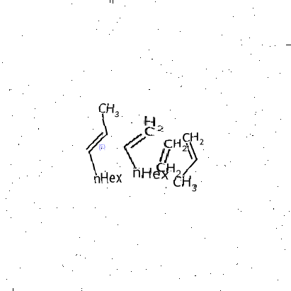 C/C=C/CCCCCC.C=C.C=CC.C=CCCCCCC